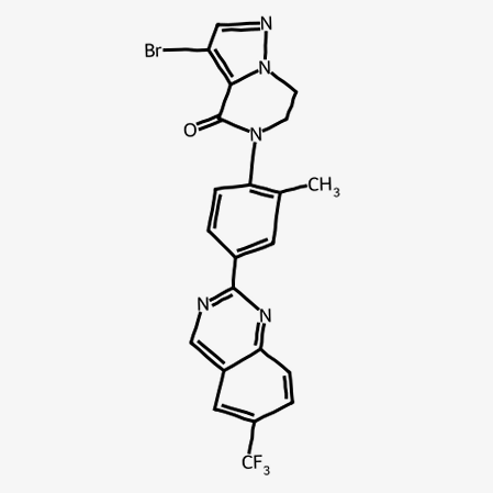 Cc1cc(-c2ncc3cc(C(F)(F)F)ccc3n2)ccc1N1CCn2ncc(Br)c2C1=O